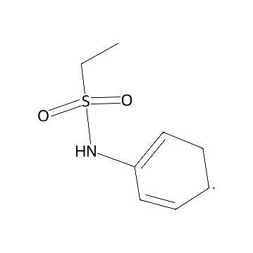 CCS(=O)(=O)NC1=CC[CH]C=C1